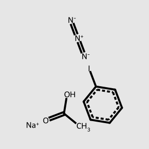 CC(=O)O.Ic1ccccc1.[N-]=[N+]=[N-].[Na+]